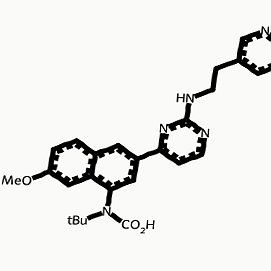 COc1ccc2cc(-c3ccnc(NCCc4cccnc4)n3)cc(N(C(=O)O)C(C)(C)C)c2c1